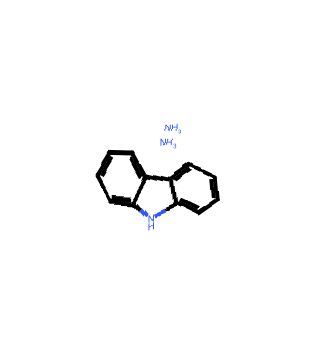 N.N.c1ccc2c(c1)[nH]c1ccccc12